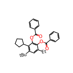 CCc1cc(C(C)(C)C)c(C2CCCC2)c(OC(=O)c2ccccc2)c1OC(=O)c1ccccc1